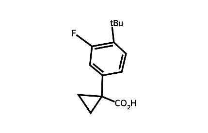 CC(C)(C)c1ccc(C2(C(=O)O)CC2)cc1F